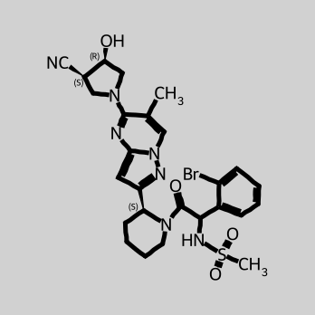 Cc1cn2nc([C@@H]3CCCCN3C(=O)C(NS(C)(=O)=O)c3ccccc3Br)cc2nc1N1C[C@@H](C#N)[C@@H](O)C1